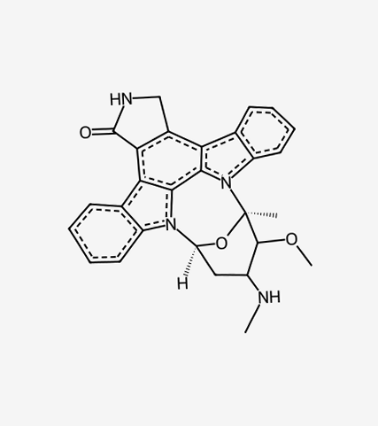 CNC1C[C@@H]2O[C@](C)(C1OC)n1c3ccccc3c3c4c(c5c6ccccc6n2c5c31)C(=O)NC4